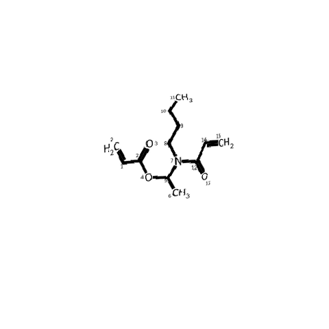 C=CC(=O)OC(C)N(CCCC)C(=O)C=C